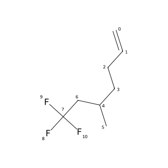 C=CCCC(C)CC(F)(F)F